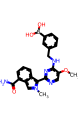 COc1cnc(-c2c3cccc(C(N)=O)c3cn2C)nc1NCc1cccc(B(O)O)c1